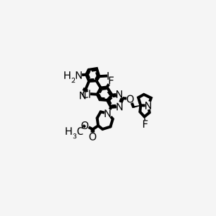 COC(=O)C1CCCN(c2nc(OC[C@@]34CCCN3C[C@H](F)C4)nc3c(F)c(-c4c(I)ccc(N)c4C#N)c(Cl)cc23)CC1